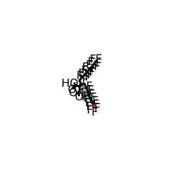 O=C(O)CC(C(=O)O)=C(CC(F)(F)C(F)(F)C(F)(F)C(F)(F)C(F)(F)C(F)(F)C(F)(F)F)CC(F)(F)C(F)(F)C(F)(F)C(F)(F)C(F)(F)C(F)(F)C(F)(F)F